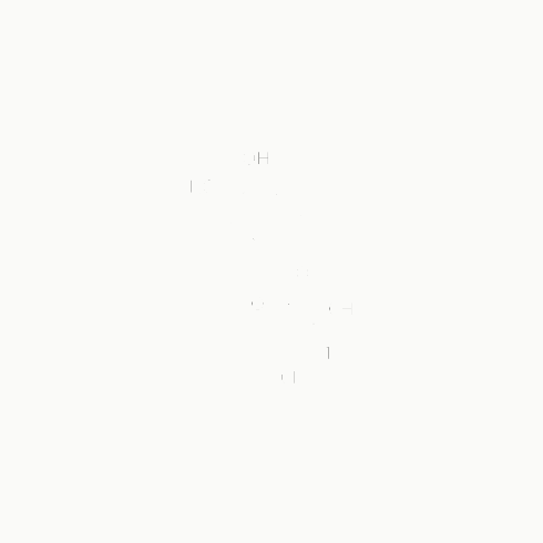 CCC(C)(I)C(=O)OC1CC2CC1CC2(C)O